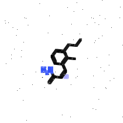 C=C(N)/C=C\c1cccc(CCC)c1C